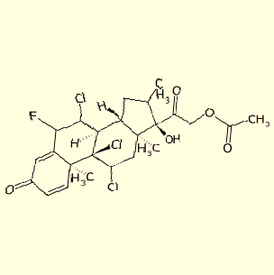 CC(=O)OCC(=O)[C@@]1(O)C(C)C[C@H]2[C@@H]3C(Cl)C(F)C4=CC(=O)C=C[C@]4(C)[C@@]3(Cl)C(Cl)C[C@@]21C